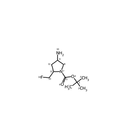 CC(C)(C)OC(=O)N1CC(N)CC1CF